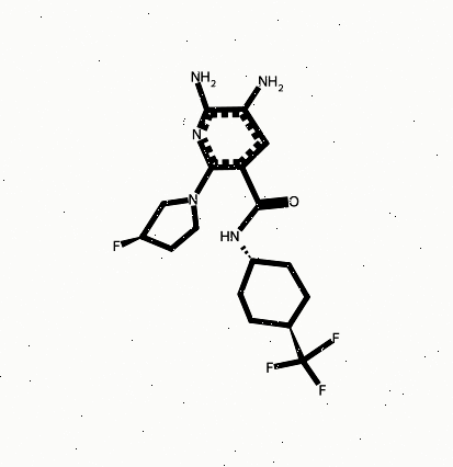 Nc1cc(C(=O)N[C@H]2CC[C@H](C(F)(F)F)CC2)c(N2CC[C@@H](F)C2)nc1N